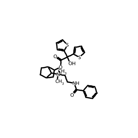 C[N+](C)(CCNC(=O)c1ccccc1)C1C2CCC1C(OC(=O)C(O)(c1cccs1)c1cccs1)C2